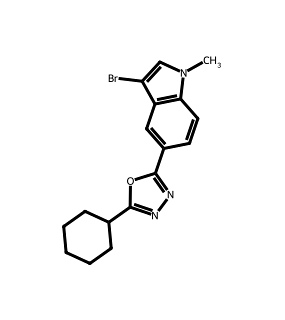 Cn1cc(Br)c2cc(-c3nnc(C4CCCCC4)o3)ccc21